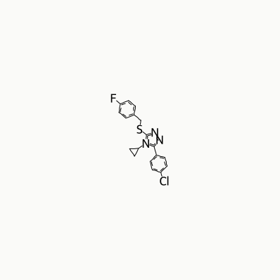 Fc1ccc(CSc2nnc(-c3ccc(Cl)cc3)n2C2CC2)cc1